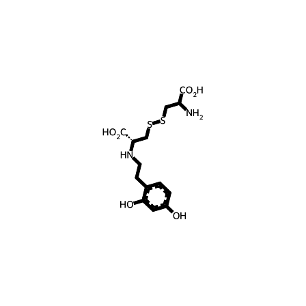 NC(CSSC[C@H](NCCc1ccc(O)cc1O)C(=O)O)C(=O)O